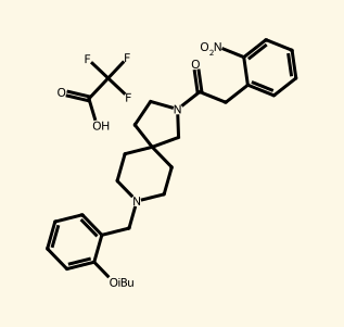 CC(C)COc1ccccc1CN1CCC2(CC1)CCN(C(=O)Cc1ccccc1[N+](=O)[O-])C2.O=C(O)C(F)(F)F